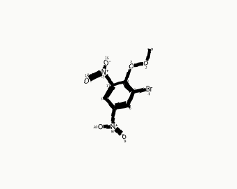 COOc1c(Br)cc([N+](=O)[O-])cc1[N+](=O)[O-]